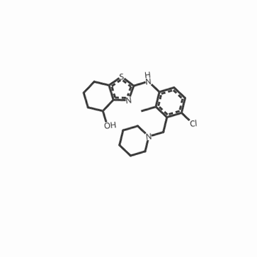 Cc1c(Nc2nc3c(s2)CCCC3O)ccc(Cl)c1CN1CCCCC1